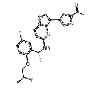 CC(=O)n1cc(-c2cnn3ccc(N[C@H](C)c4cc(F)ccc4OCC(F)F)nc23)cn1